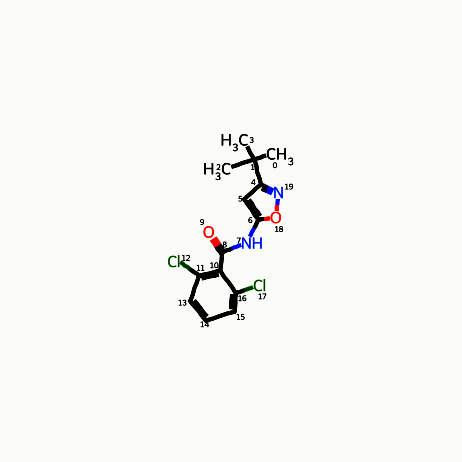 CC(C)(C)c1cc(NC(=O)c2c(Cl)cccc2Cl)on1